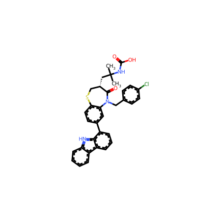 CC(C)(C[C@H]1CSc2ccc(-c3cccc4c3[nH]c3ccccc34)cc2N(Cc2ccc(Cl)cc2)C1=O)NC(=O)O